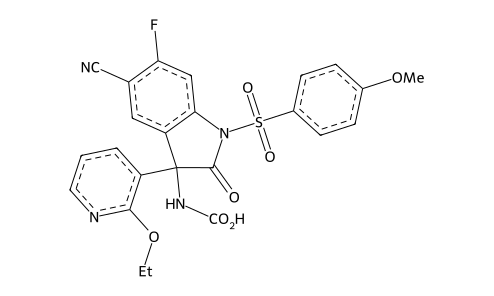 CCOc1ncccc1C1(NC(=O)O)C(=O)N(S(=O)(=O)c2ccc(OC)cc2)c2cc(F)c(C#N)cc21